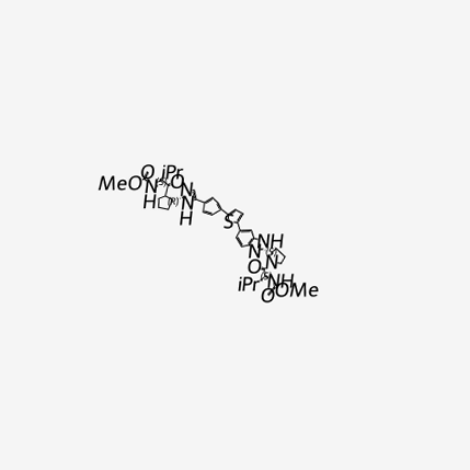 COC(=O)N[C@H](C(=O)C1CCC[C@H]1c1ncc(-c2ccc(-c3ccc(-c4ccc5nc([C@@H]6CCCN6C(=O)[C@@H](NC(=O)OC)C(C)C)[nH]c5c4)s3)cc2)[nH]1)C(C)C